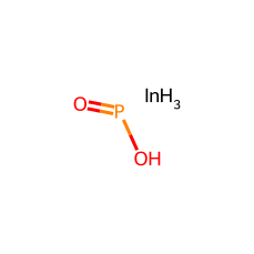 O=PO.[InH3]